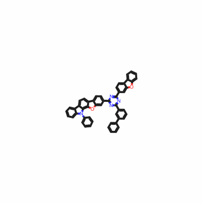 c1ccc(-c2cccc(-c3nc(-c4ccc5c(c4)oc4ccccc45)nc(-c4ccc5c(c4)oc4c5ccc5c6ccccc6n(-c6ccccc6)c54)n3)c2)cc1